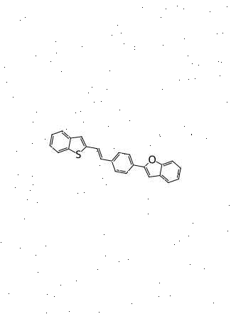 C(=Cc1cc2ccccc2s1)c1ccc(-c2cc3ccccc3o2)cc1